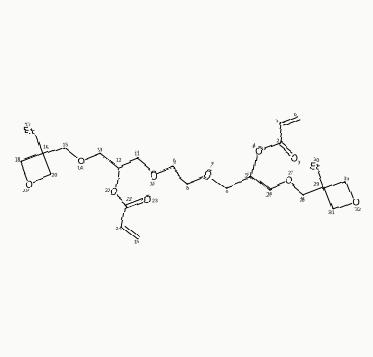 C=CC(=O)OC(COCCOCC(COCC1(CC)COC1)OC(=O)C=C)COCC1(CC)COC1